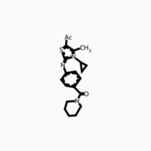 CC(=O)c1sc(=Nc2ccc(C(=O)N3CCCCC3)cc2)n(C2CC2)c1C